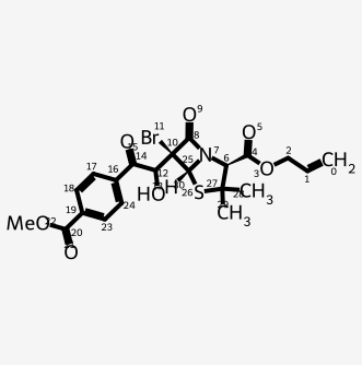 C=CCOC(=O)[C@@H]1N2C(=O)[C@@](Br)(C(O)C(=O)c3ccc(C(=O)OC)cc3)[C@H]2SC1(C)C